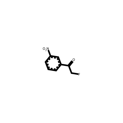 O=C(CF)c1cccc([N+](=O)[O-])c1